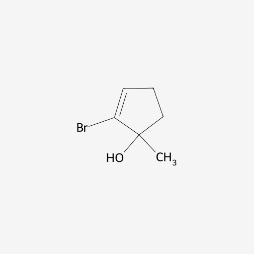 CC1(O)CCC=C1Br